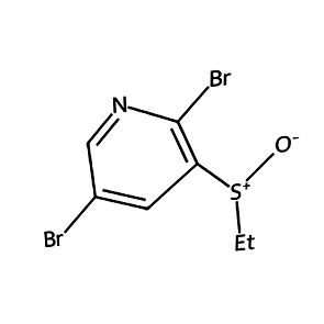 CC[S+]([O-])c1cc(Br)cnc1Br